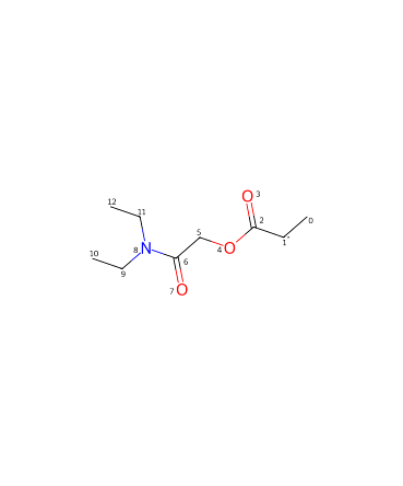 C[CH]C(=O)OCC(=O)N(CC)CC